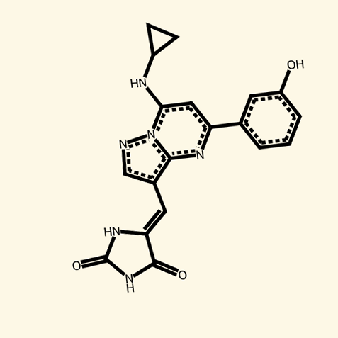 O=C1NC(=O)C(=Cc2cnn3c(NC4CC4)cc(-c4cccc(O)c4)nc23)N1